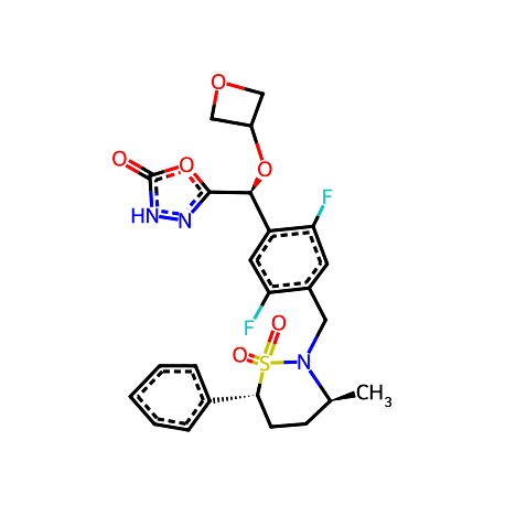 C[C@H]1CC[C@H](c2ccccc2)S(=O)(=O)N1Cc1cc(F)c([C@H](OC2COC2)c2n[nH]c(=O)o2)cc1F